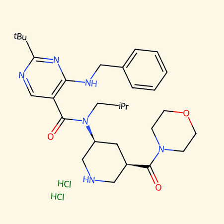 CC(C)CN(C(=O)c1cnc(C(C)(C)C)nc1NCc1ccccc1)[C@@H]1CNC[C@H](C(=O)N2CCOCC2)C1.Cl.Cl